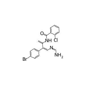 C=C(NC(=O)c1ccccc1Cl)/C(=C\N=C/N)c1ccc(Br)cc1